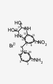 Nc1ccc[n+](Cc2cc([N+](=O)[O-])cc3c2NC(O)C(O)N3)c1.[Br-]